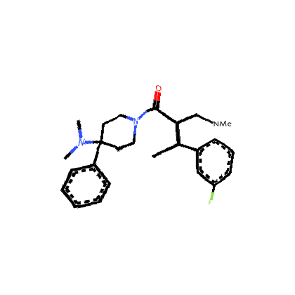 CNCC(C(=O)N1CCC(c2ccccc2)(N(C)C)CC1)C(C)c1cccc(F)c1